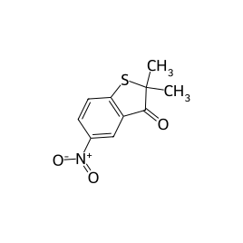 CC1(C)Sc2ccc([N+](=O)[O-])cc2C1=O